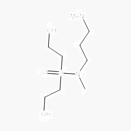 CNCCCN(C)P(=O)(CCO)CCO